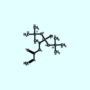 C=CC(=O)OC[Si](CC)(O[Si](C)(C)C)O[Si](C)(C)C